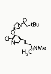 CN[C@@H](C)CC=Cc1cnc(Cl)c(O[C@@H]2CCN(C(=O)CC(C)(C)C)C2)c1